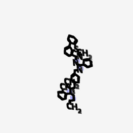 C=C/C=C\C(=C(\C=C)Cc1ccc(C/N=C(\N=C(/N=C)c2cccc3c2sc2ccccc23)c2ccccc2)cc1)c1ccccc1C